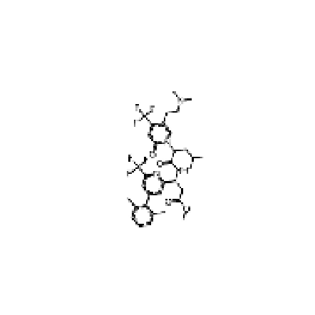 COC(=O)C[C@H](NC(=O)C(CC(C)C)n1cc(CCN(C)C)c(C(F)(F)F)cc1=O)c1cc(-c2c(C)cccc2C)cc(C(F)(F)F)n1